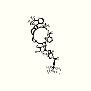 CCn1c(-c2cccnc2[C@H](C)OC)c2c3cc(ccc31)-c1csc(n1)C[C@H](NC(=O)C(C(C)C)N(C)C(=O)N1C[C@H]3CN(C(=O)C#CC(C)(C)N(C)C)CC[C@H]31)C(=O)N1CCC[C@H](N1)C(=O)OCC(C)(C)C2